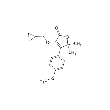 CSc1ccc(C2=C(OCC3CC3)C(=O)OC2(C)C)cc1